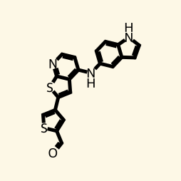 O=Cc1cc(-c2cc3c(Nc4ccc5[nH]ccc5c4)ccnc3s2)cs1